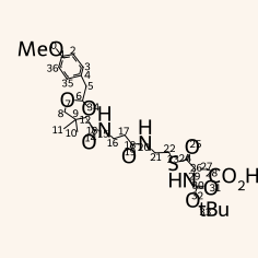 COc1ccc(CC2OCC(C)(C)[C@H](C(=O)NCCC(=O)NCCSC(=O)[C@H](CC(=O)O)NC(=O)OC(C)(C)C)O2)cc1